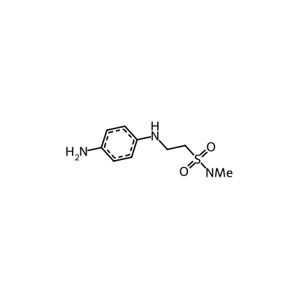 CNS(=O)(=O)CCNc1ccc(N)cc1